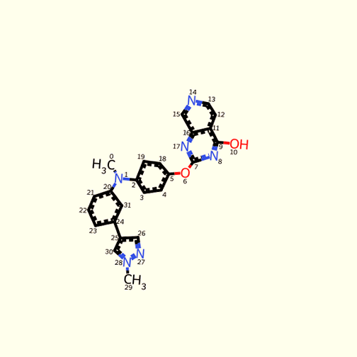 CN(c1ccc(Oc2nc(O)c3ccncc3n2)cc1)c1cccc(-c2cnn(C)c2)c1